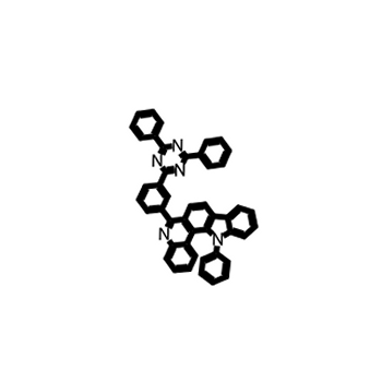 c1ccc(-c2nc(-c3ccccc3)nc(-c3cccc(-c4nc5ccccc5c5c4ccc4c6ccccc6n(-c6ccccc6)c45)c3)n2)cc1